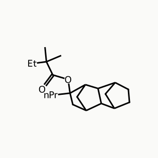 CCCC1(OC(=O)C(C)(C)CC)CC2CC1C1C3CCC(C3)C21